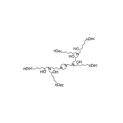 CCCCCCCCCCCCCCC(O)CN(CCCCN(CC(O)CCCCCCCCCCCCCC)CC(O)CCCCCCCCCCCCCC)CCN1CCN(CCCCN(CC(O)CCCCCCCCCCCCCC)CC(O)CCCCCCCCCCCCCC)CC1